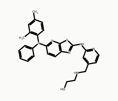 Cc1ccc(N(c2ccccc2)c2ccc3nc(Nc4cc(CNCCO)ccn4)sc3n2)c(C)c1